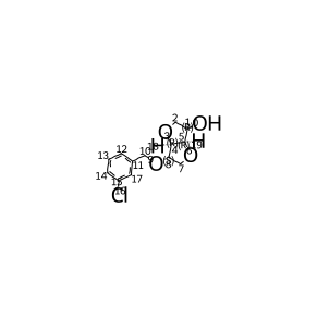 O[C@@H]1CO[C@H]2[C@@H]1OC[C@@H]2OCc1cccc(Cl)c1